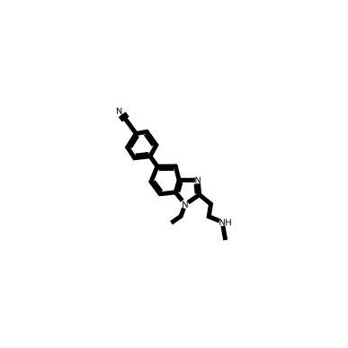 CCn1c(CCNC)nc2cc(-c3ccc(C#N)cc3)ccc21